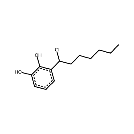 CCCCCCC(Cl)c1cccc(O)c1O